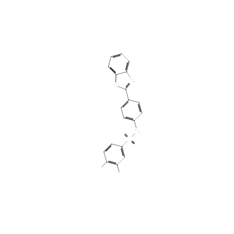 Cc1ccc(S(=O)(=O)Nc2ccc(-c3nc4ccccc4[nH]3)cc2)cc1C(=O)O